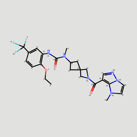 CCOc1ccc(C(F)(F)F)cc1NC(=O)N(C)C1CC2(C1)CN(C(=O)c1cnn3ccn(C)c13)C2